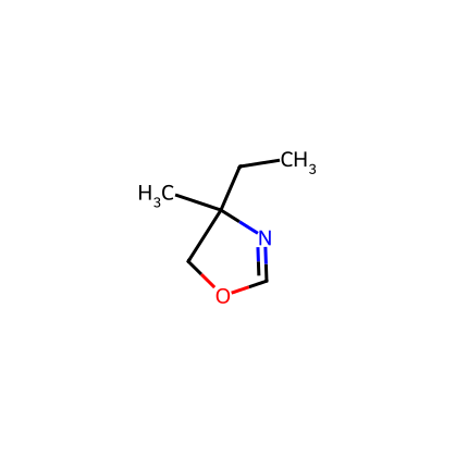 CCC1(C)COC=N1